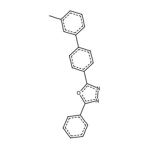 Cc1cccc(-c2ccc(-c3nnc(-c4ccccc4)o3)cc2)c1